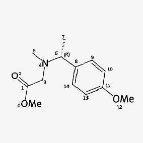 COC(=O)CN(C)[C@H](C)c1ccc(OC)cc1